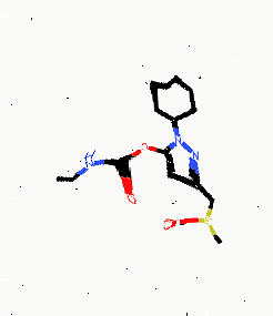 CCNC(=O)Oc1cc(C[S+](C)[O-])nn1C1CCCCC1